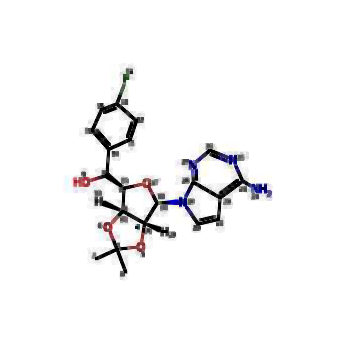 CC1(C)O[C@@H]2[C@H](O1)[C@@H](C(O)c1ccc(F)cc1)O[C@H]2n1ccc2c(N)ncnc21